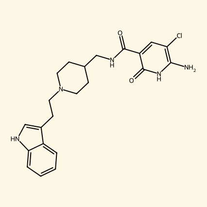 Nc1[nH]c(=O)c(C(=O)NCC2CCN(CCc3c[nH]c4ccccc34)CC2)cc1Cl